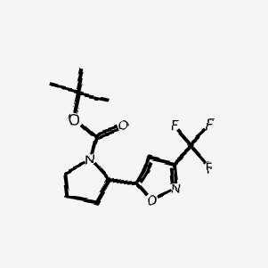 CC(C)(C)OC(=O)N1CCCC1c1cc(C(F)(F)F)no1